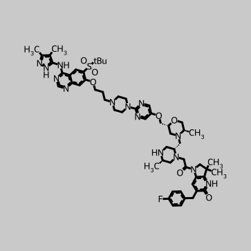 Cc1n[nH]c(Nc2ncnc3cc(OCCCN4CCN(c5ncc(OC[C@H]6CN(C[C@H]7CN[C@H](C)CN7CC(=O)N7CC(C)(C)c8[nH]c(=O)c(Cc9ccc(F)cc9)cc87)[C@H](C)CO6)cn5)CC4)c(S(=O)(=O)C(C)(C)C)cc23)c1C